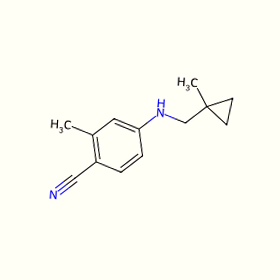 Cc1cc(NCC2(C)CC2)ccc1C#N